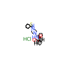 Cl.O=C1NC(=O)[C@H]2[C@@H]1[C@@H]1CC[C@H]2C1C[C@H]1CCCC[C@H]1CN1CCN(c2nsc3ccccc23)CC1